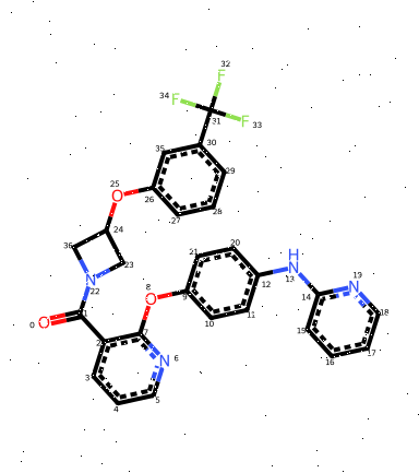 O=C(c1cccnc1Oc1ccc(Nc2ccccn2)cc1)N1CC(Oc2cccc(C(F)(F)F)c2)C1